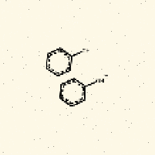 Oc1ccccc1.Oc1ccccc1.[O]